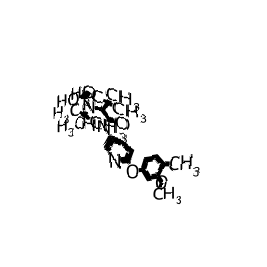 COc1cc(Oc2ccc(NC(=O)C(N(C(=O)O)C(C)(C)C)C(C)(C)C)cn2)ccc1C